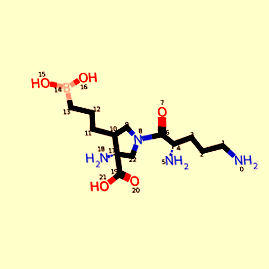 NCCC[C@H](N)C(=O)N1CC(CCCB(O)O)[C@](N)(C(=O)O)C1